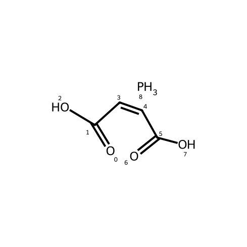 O=C(O)/C=C\C(=O)O.P